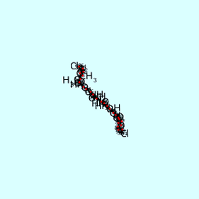 C/C(=C\C=C(/C)S(=O)(=O)NCCOCCOCCNC(=O)NCCCCNC(=O)NCCOCCOCCNS(=O)(=O)c1ccc(O[C@@H]2CCc3ccc(Cl)cc32)cc1)O[C@@H]1CCc2ccc(Cl)cc21